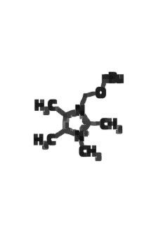 CCCCOCn1c(C)c(C)[n+](C)c1C